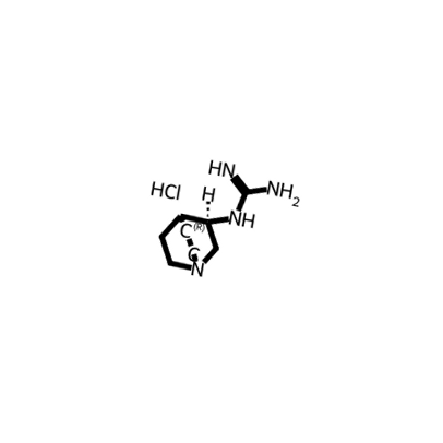 Cl.N=C(N)N[C@H]1CN2CCC1CC2